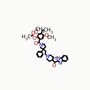 CCc1c(OC)cc(C(=O)N2CCC(CCN3CCC(C(=O)c4nc5ccccc5[nH]4)CC3)(c3ccccc3)C2)c(OC(C)=O)c1OC